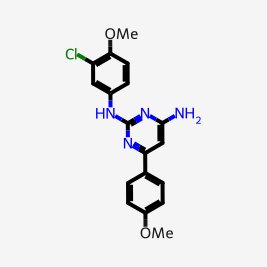 COc1ccc(-c2cc(N)nc(Nc3ccc(OC)c(Cl)c3)n2)cc1